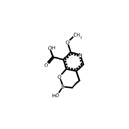 COc1ncc2c(c1C(=O)O)OB(O)CC2